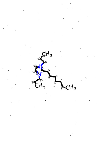 CCCCCCCc1n(CCC)cc[n+]1CCC